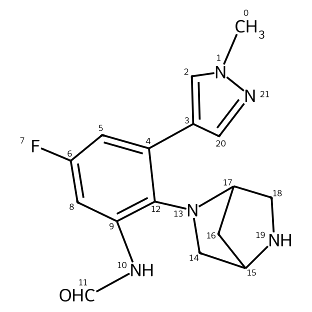 Cn1cc(-c2cc(F)cc(NC=O)c2N2CC3CC2CN3)cn1